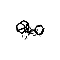 CC(C)(C)C12CC3CC(C1)C(Pc1ccccc1)C(C3)C2